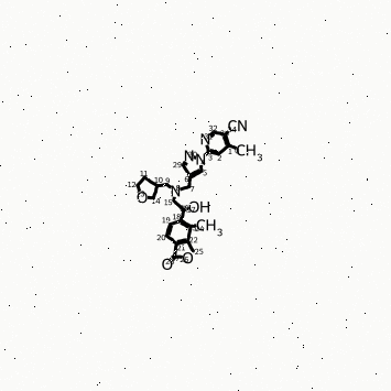 Cc1cc(-n2cc(CN(CC3CCOC3)C[C@H](O)c3ccc4c(c3C)COC4=O)cn2)ncc1C#N